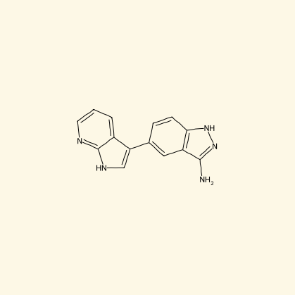 Nc1n[nH]c2ccc(-c3c[nH]c4ncccc34)cc12